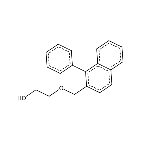 OCCOCc1ccc2ccccc2c1-c1ccccc1